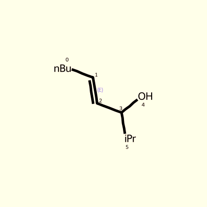 CCCC/C=C/C(O)C(C)C